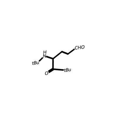 CC(C)(C)NC(CCC=O)C(=O)C(C)(C)C